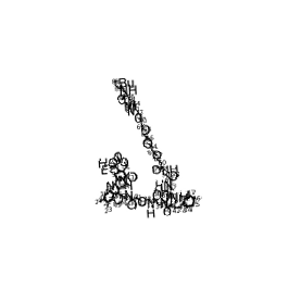 CC[C@@]1(O)C(=O)OCc2c1cc1n(c2=O)Cc2c-1nc1cc(C)c(C)c3c1c2[C@@H](NC(=O)COCNC(=O)CNC(=O)[C@H](Cc1ccccc1)NC(=O)CNC(=O)CNC(=O)CCOCCOCCOCCOCc1cn(CC(=O)NCC(C)(C)C)nn1)CC3